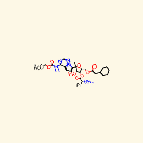 CC(=O)OCOC(=O)Nc1ncnn2c([C@]3(C)O[C@H](COC(=O)CC4CCCCC4)[C@@H](OC(=O)[C@@H](N)C(C)C)[C@H]3O)ccc12